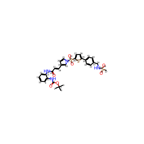 CC(C)(C)OC(=O)Nc1ccccc1NC(=O)C=Cc1ccn(S(=O)(=O)c2ccc(-c3ccc(CNS(C)(=O)=O)cc3)s2)c1